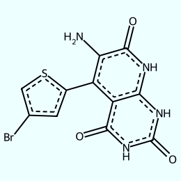 Nc1c(-c2cc(Br)cs2)c2c(=O)[nH]c(=O)[nH]c2[nH]c1=O